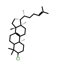 CC(C)=CCC[C@@H](C)[C@H]1CC[C@@]2(C)C3=C(CC[C@]12C)[C@@]1(C)CCC(Cl)C(C)(C)C1CC3